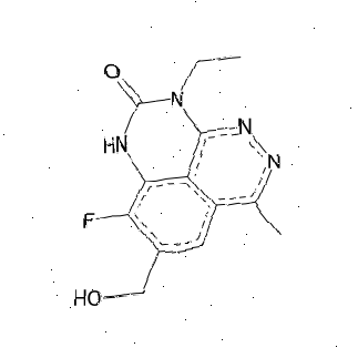 CCN1C(=O)Nc2c(F)c(CO)cc3c(C)nnc1c23